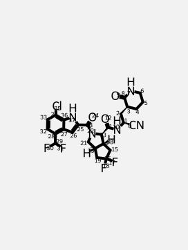 N#C[C@H](C[C@@H]1CCCNC1=O)NC(=O)[C@H]1[C@@H]2CC(F)(F)C[C@@H]2CN1C(=O)c1cc2c(C(F)F)ccc(Cl)c2[nH]1